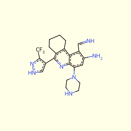 N=Cc1c(N)cc(N2CCNCC2)c2nc(-c3c[nH]nc3C(F)(F)F)c3c(c12)CCCC3